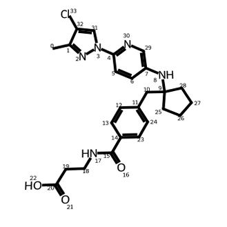 Cc1nn(-c2ccc(NC3(Cc4ccc(C(=O)NCCC(=O)O)cc4)CCCC3)cn2)cc1Cl